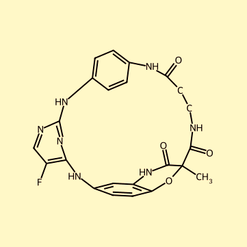 CC12Oc3ccc(cc3NC1=O)Nc1nc(ncc1F)Nc1ccc(cc1)NC(=O)CCNC2=O